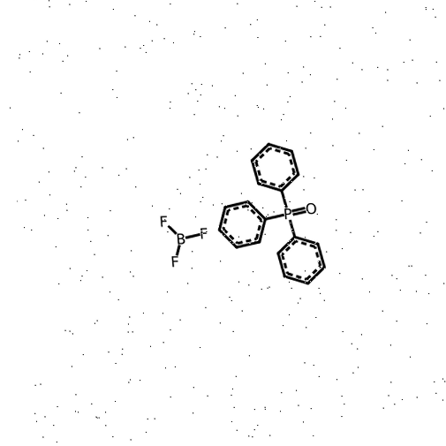 FB(F)F.O=P(c1ccccc1)(c1ccccc1)c1ccccc1